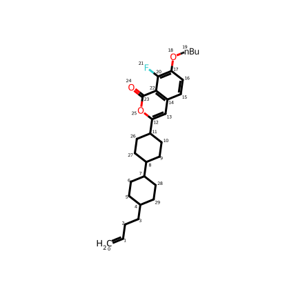 C=CCCC1CCC(C2CCC(c3cc4ccc(OCCCC)c(F)c4c(=O)o3)CC2)CC1